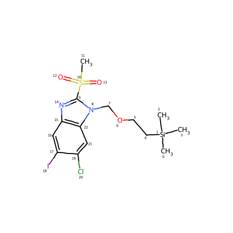 C[Si](C)(C)CCOCn1c(S(C)(=O)=O)nc2cc(I)c(Cl)cc21